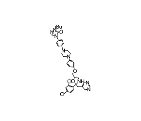 CCC(C)n1ncn(-c2ccc(N3CCN(c4ccc(OCC5CNC(Cc6cncnc6)(c6ccc(Cl)cc6Cl)O5)cc4)CC3)cc2)c1=O